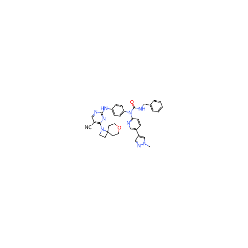 Cn1cc(-c2ccc(N(C(=O)NCc3ccccc3)c3ccc(Nc4ncc(C#N)c(N5CCC56CCOCC6)n4)cc3)nc2)cn1